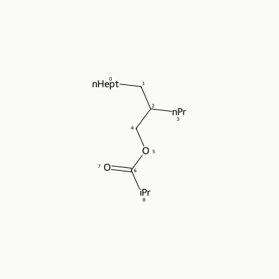 CCCCCCCCC(CCC)COC(=O)C(C)C